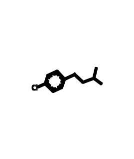 CC(C)C[CH]c1ccc(Cl)cc1